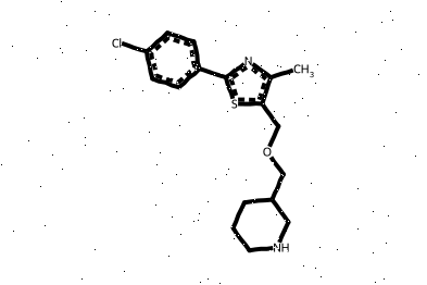 Cc1nc(-c2ccc(Cl)cc2)sc1COCC1CCCNC1